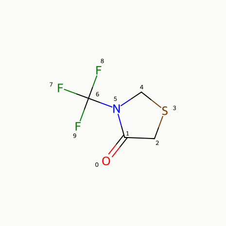 O=C1CSCN1C(F)(F)F